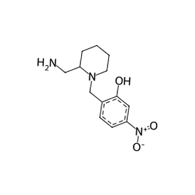 NCC1CCCCN1Cc1ccc([N+](=O)[O-])cc1O